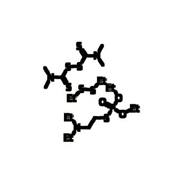 CCOP(=O)(OCC)SCCN(CC)CC.CCSSCC.CN(C)C(=S)SSC(=S)N(C)C